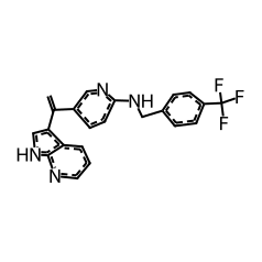 C=C(c1ccc(NCc2ccc(C(F)(F)F)cc2)nc1)c1c[nH]c2ncccc12